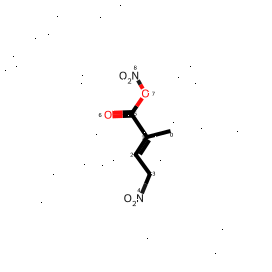 C/C(=C\C[N+](=O)[O-])C(=O)O[N+](=O)[O-]